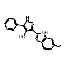 Oc1c(-c2nc3ccc(F)cc3[nH]2)n[nH]c1-c1ccccc1